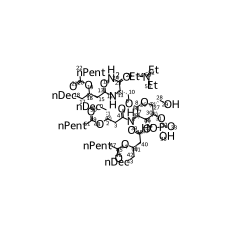 CCCCCCCCCCC[C@H](CC(=O)N[C@H]1[C@H](OC[C@H](NC(=O)C[C@@H](CCCCCCCCCCC)OC(=O)CCCCC)C(N)=O)O[C@H](CO)[C@@H](OP(=O)(O)O)[C@@H]1OC(=O)C[C@@H](CCCCCCCCCCC)OC(=O)CCCCC)OC(=O)CCCCC.CCN(CC)CC